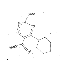 COC(=O)c1cnc(SC)nc1C1CCCCC1